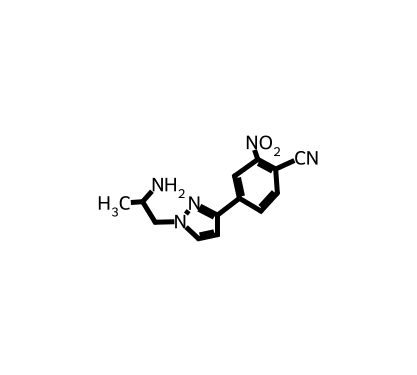 CC(N)Cn1ccc(-c2ccc(C#N)c([N+](=O)[O-])c2)n1